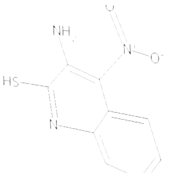 Nc1c(S)nc2ccccc2c1[N+](=O)[O-]